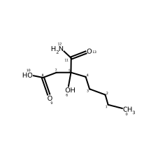 CCCCCC(O)(CC(=O)O)C(N)=O